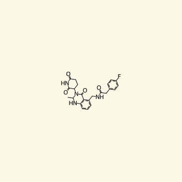 CC1Nc2cccc(CNC(=O)Cc3ccc(F)cc3)c2C(=O)N1C1CCC(=O)NC1=O